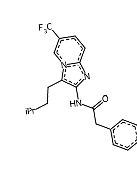 CC(C)CCc1c(NC(=O)Cc2ccccc2)nc2ccc(C(F)(F)F)cn12